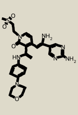 C=C(Nc1ccc(N2CCOCC2)cc1)c1c(/C=C(\N)c2cnc(N)nc2)ccn(CCS(C)(=O)=O)c1=O